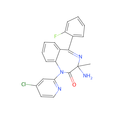 CC1(N)N=C(c2ccccc2F)c2ccccc2N(c2cc(Cl)ccn2)C1=O